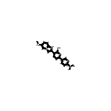 COc1ccc2nc(-c3ccc(-c4ccc(N(C)C)nc4)nc3F)cn2c1